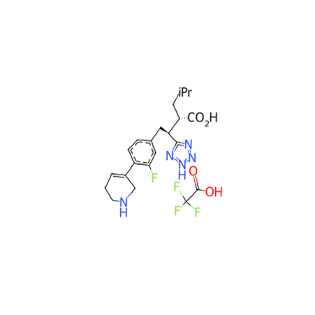 CC(C)C[C@H](C(=O)O)[C@H](Cc1ccc(C2=CCCNC2)c(F)c1)c1nn[nH]n1.O=C(O)C(F)(F)F